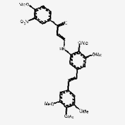 COc1ccc(C(=O)C=CNc2cc(C=Cc3cc(OC)c(OC)c(OC)c3)cc(OC)c2OC)cc1[N+](=O)[O-]